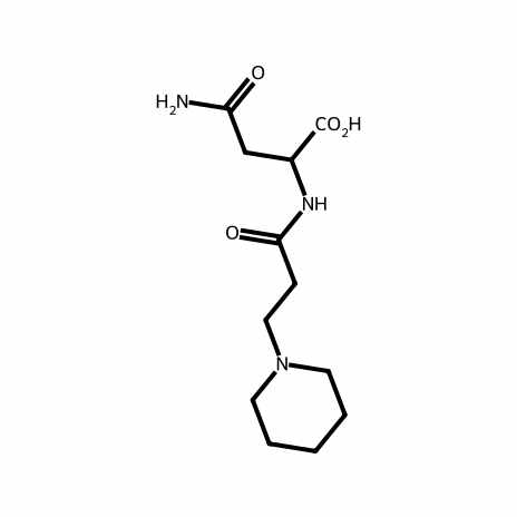 NC(=O)CC(NC(=O)CCN1CCCCC1)C(=O)O